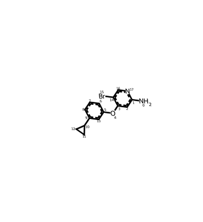 Nc1cc(Oc2cccc(C3CC3)c2)c(Br)cn1